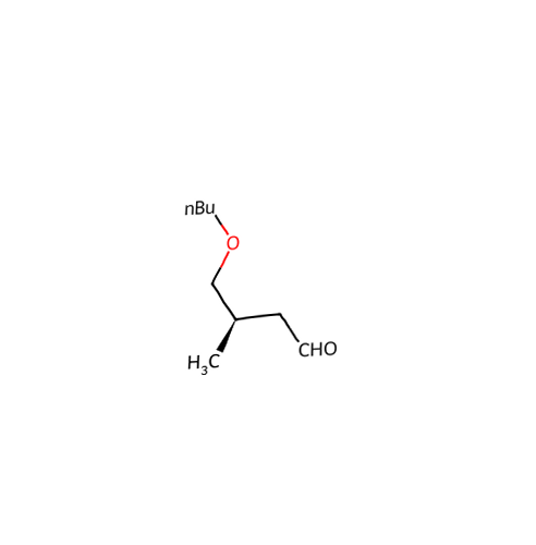 CCCCOC[C@H](C)CC=O